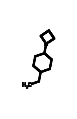 CCC1CCC(N2CCC2)CC1